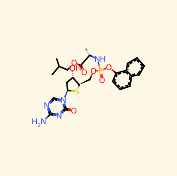 CC(C)COC(=O)[C@H](C)NP(=O)(OC[C@H]1S[C@@H](n2cnc(N)nc2=O)C[C@@H]1O)Oc1cccc2ccccc12